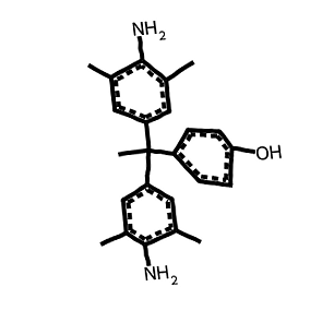 Cc1cc(C(C)(c2ccc(O)cc2)c2cc(C)c(N)c(C)c2)cc(C)c1N